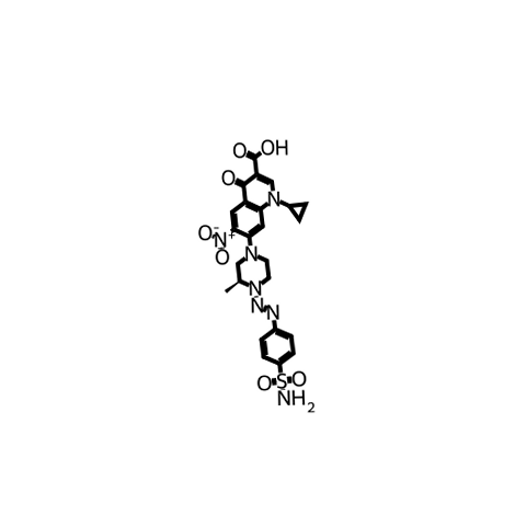 C[C@H]1CN(c2cc3c(cc2[N+](=O)[O-])c(=O)c(C(=O)O)cn3C2CC2)CCN1/N=N/c1ccc(S(N)(=O)=O)cc1